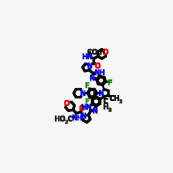 CC1C[C@H](c2cc3nc(C4CCCN4C(=O)C(NC(=O)O)C4CCOCC4)[nH]c3cc2F)N(c2cc(F)c(N3CCCCC3)c(F)c2)[C@]1(C)c1cc2nc(C3CCCN3C(=O)[C@@H](NC(=O)O)C3CCOCC3)[nH]c2cc1F